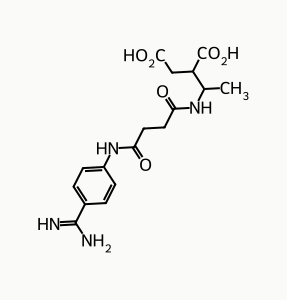 CC(NC(=O)CCC(=O)Nc1ccc(C(=N)N)cc1)C(CC(=O)O)C(=O)O